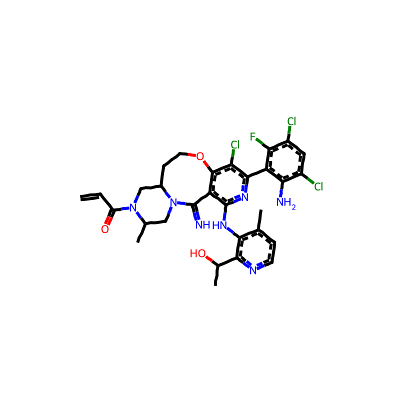 C=CC(=O)N1CC2CCOc3c(Cl)c(-c4c(N)c(Cl)cc(Cl)c4F)nc(Nc4c(C)ccnc4C(C)O)c3C(=N)N2CC1C